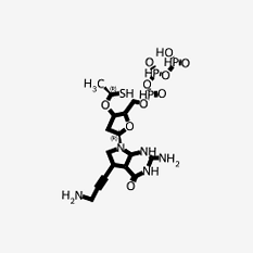 C[C@@H](S)OC1C[C@H](N2CC(C#CCN)C3C(=O)NC(N)NC32)OC1CO[PH](=O)O[PH](=O)O[PH](=O)O